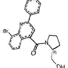 O=C(c1cc(-c2ccccc2)nc2c(Br)cccc12)N1CCC[C@@H]1CO